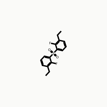 CCc1cccc(S(=O)(=O)c2cccc(CC)c2F)c1F